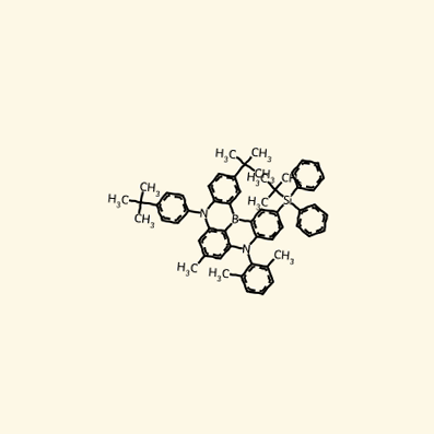 Cc1cc2c3c(c1)N(c1c(C)cccc1C)c1ccc([Si](c4ccccc4)(c4ccccc4)C(C)(C)C)cc1B3c1cc(C(C)(C)C)ccc1N2c1ccc(C(C)(C)C)cc1